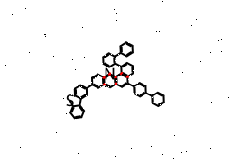 c1ccc(-c2ccc(-c3ccc(N(c4ccc(-c5ccc6sc7ccccc7c6c5)cc4)c4cccc(-c5ccccc5)c4-c4ccccc4-c4ccccc4)cc3)cc2)cc1